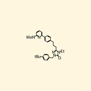 CCn1c(CCCc2ccc(-c3cccc(NC)n3)cc2)nn(Cc2ccc(C(C)(C)C)cc2)c1=O